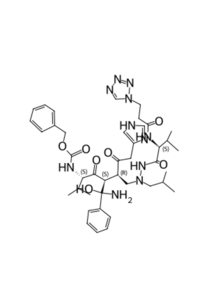 CC(C)CN(C[C@H](C(=O)Cc1c[nH]cn1)[C@H](C(=O)[C@@H](NC(=O)OCc1ccccc1)C(C)C)C(N)(O)c1ccccc1)NC(=O)[C@@H](NC(=O)CCn1cnnn1)C(C)C